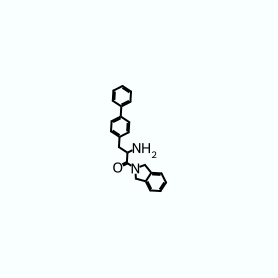 NC(Cc1ccc(-c2ccccc2)cc1)C(=O)N1Cc2ccccc2C1